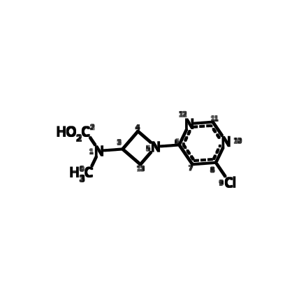 CN(C(=O)O)C1CN(c2cc(Cl)ncn2)C1